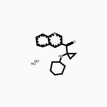 Cl.Cl.O=C(c1cnc2ccccc2c1)C1(NC2CCCCC2)CC1